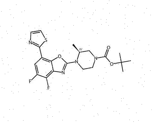 C[C@H]1CN(C(=O)OC(C)(C)C)CCN1c1nc2c(F)c(F)cc(-c3nccs3)c2o1